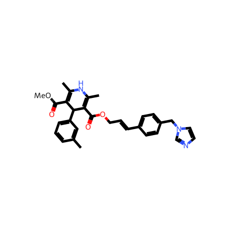 COC(=O)C1=C(C)NC(C)=C(C(=O)OCC=Cc2ccc(Cn3ccnc3)cc2)C1c1cccc(C)c1